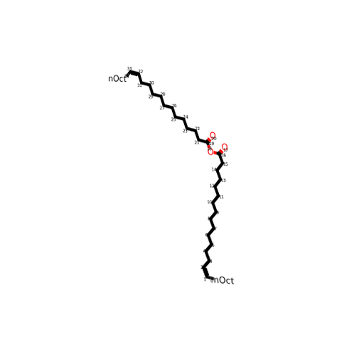 CCCCCCCC/C=C\CCCCCCCCCCCCCC(=O)OC(=O)CCCCCCCCCCC/C=C\CCCCCCCC